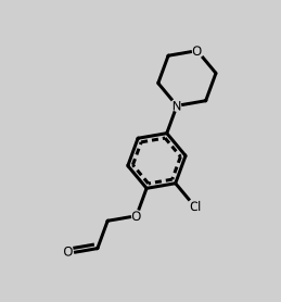 O=CCOc1ccc(N2CCOCC2)cc1Cl